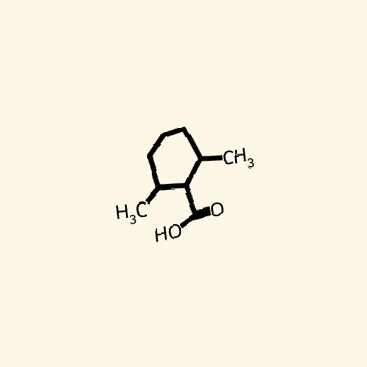 CC1CCCC(C)C1C(=O)O